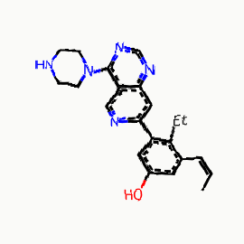 C/C=C\c1cc(O)cc(-c2cc3ncnc(N4CCNCC4)c3cn2)c1CC